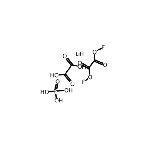 O=C(O)C(=O)O.O=C(OF)C(=O)OF.O=P(O)(O)O.[LiH]